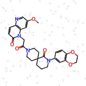 COc1cnc2ccc(=O)n(CC(=O)N3CCC4(CCCN(c5ccc6c(c5)OCCO6)C4=O)CC3)c2c1